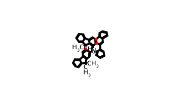 CC1(C)c2cc(N(c3ccccc3C3=Cc4ccccc4CC3)c3cccc4c3C(C)(C)c3ccccc3-4)c#cc2-c2ccccc21